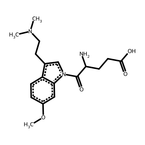 COc1ccc2c(CCN(C)C)cn(C(=O)C(N)CCC(=O)O)c2c1